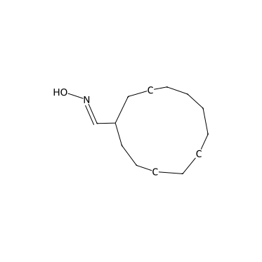 ON=CC1CCCCCCCCCCC1